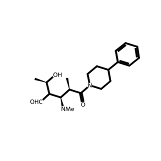 CN[C@@H](C(C=O)[C@@H](C)O)[C@@H](C)C(=O)N1CCC(c2ccccc2)CC1